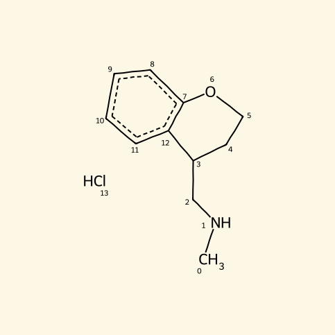 CNCC1CCOc2ccccc21.Cl